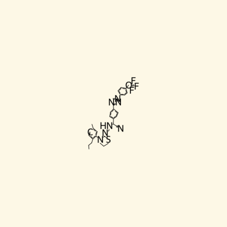 CCCc1ccc(C)cc1N1CCCS/C1=N\CNC(C#N)c1ccc(-c2ncn(-c3ccc(OC(F)(F)F)cc3)n2)cc1